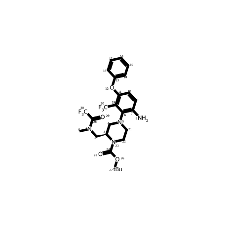 CN(C[C@H]1CN(c2c(N)ccc(Oc3ccccc3)c2C(F)(F)F)CCN1C(=O)OC(C)(C)C)C(=O)C(F)(F)F